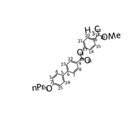 CCCOc1ccc(-c2ccc(C(=O)Oc3ccc(C(C)OC)cc3)cc2)cc1